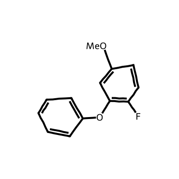 COc1ccc(F)c(Oc2ccccc2)c1